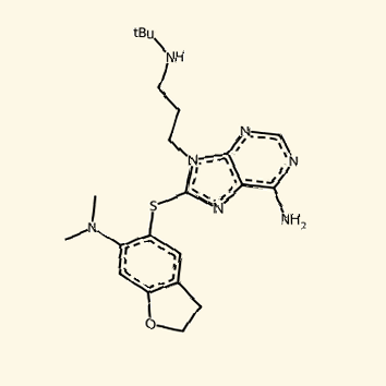 CN(C)c1cc2c(cc1Sc1nc3c(N)ncnc3n1CCCNC(C)(C)C)CCO2